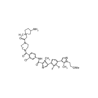 COCCn1ncc(-c2ccc(-c3cnc(C(=O)Nc4ccc(C(=O)N5CCN(C(=O)C[N+]6(C)CCC(N)C6)CC5)c(Cl)c4)n3C)c(F)c2F)c1C